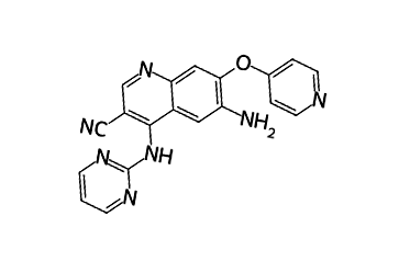 N#Cc1cnc2cc(Oc3ccncc3)c(N)cc2c1Nc1ncccn1